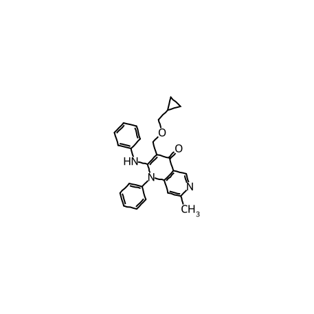 Cc1cc2c(cn1)c(=O)c(COCC1CC1)c(Nc1ccccc1)n2-c1ccccc1